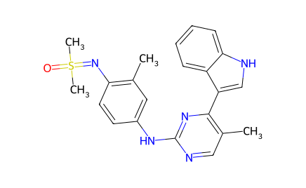 Cc1cc(Nc2ncc(C)c(-c3c[nH]c4ccccc34)n2)ccc1N=S(C)(C)=O